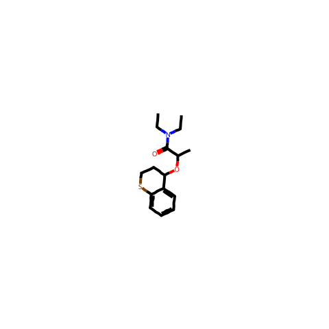 CCN(CC)C(=O)C(C)OC1CCSc2ccccc21